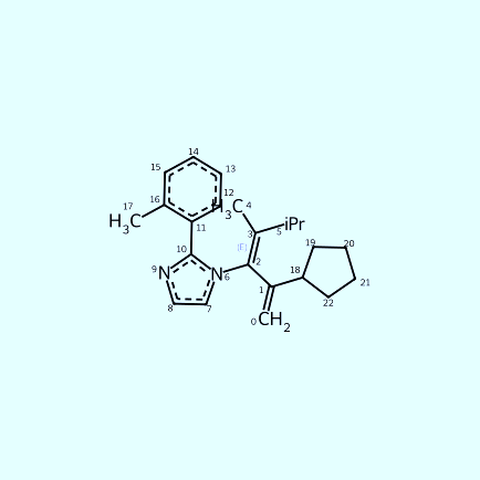 C=C(/C(=C(/C)C(C)C)n1ccnc1-c1ccccc1C)C1CCCC1